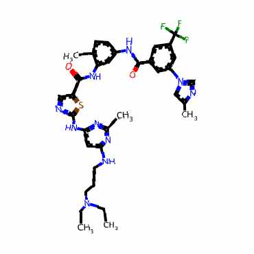 CCN(CC)CCCNc1cc(Nc2ncc(C(=O)Nc3cc(NC(=O)c4cc(-n5cnc(C)c5)cc(C(F)(F)F)c4)ccc3C)s2)nc(C)n1